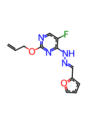 C=CCOc1ncc(F)c(N/N=C/c2ccco2)n1